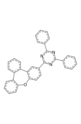 c1ccc(-c2nc(-c3ccccc3)nc(-c3ccc4c(c3)-c3ccccc3-c3ccccc3O4)n2)cc1